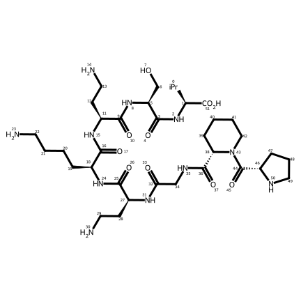 CC(C)[C@H](NC(=O)[C@H](CO)NC(=O)[C@H](CCN)NC(=O)[C@H](CCCCN)NC(=O)[C@H](CCN)NC(=O)CNC(=O)[C@@H]1CCCCN1C(=O)[C@@H]1CCCN1)C(=O)O